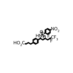 O=C(O)CCCc1ccc(C(CCCC(F)(F)C(F)(F)F)NS(=O)(=O)c2ccc([N+](=O)[O-])cc2)cc1